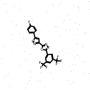 Fc1ccc(-c2cc(-c3nnc(-c4cc(C(F)(F)F)cc(C(F)(F)F)c4)o3)no2)cc1